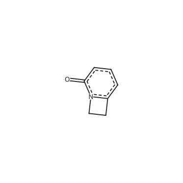 O=c1cccc2n1CC2